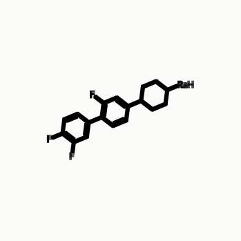 Fc1ccc(-c2ccc(C3CC[CH]([RaH])CC3)cc2F)cc1F